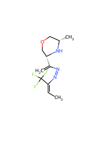 C=C(/N=N\C(=C/C)C(F)(F)F)[C@@H]1COC[C@H](C)N1